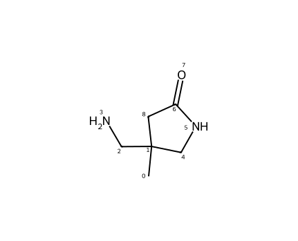 CC1(CN)CNC(=O)C1